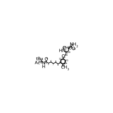 CC(=O)[C@@H](NC(=O)CCCCCc1cc(OC[C@H](CCC(N)=O)NC=O)ccc1C)C(C)(C)C